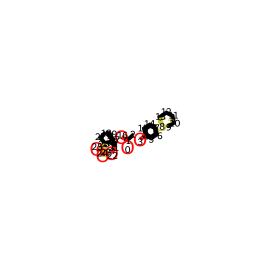 O=C(COc1ccc([S+]2CCCCC2)cc1)OC1C2CC3C1OS(=O)(=O)C3C2